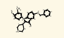 Cc1cc(-n2c(C3CCOCC3)c(I)c3cc(OCc4ccccc4)ccc32)ccc1F